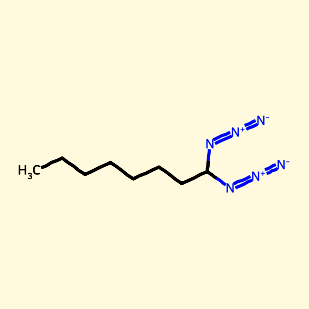 CCCCCCCC(N=[N+]=[N-])N=[N+]=[N-]